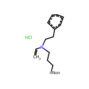 C=CN(CCCCCCCCCCCC)CCc1ccccc1.Cl